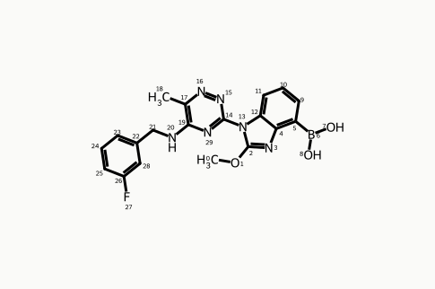 COc1nc2c(B(O)O)cccc2n1-c1nnc(C)c(NCc2cccc(F)c2)n1